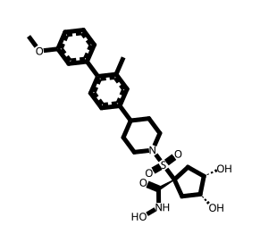 COc1cccc(-c2ccc(C3CCN(S(=O)(=O)[C@@]4(C(=O)NO)C[C@@H](O)[C@@H](O)C4)CC3)cc2C)c1